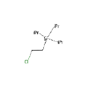 CC(C)[Si](CCCl)(C(C)C)C(C)C